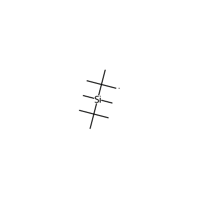 [CH2]C(C)(C)[Si](C)(C)C(C)(C)C